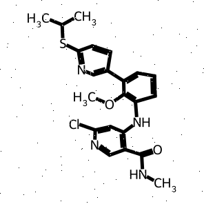 CNC(=O)c1cnc(Cl)cc1Nc1cccc(-c2ccc(SC(C)C)nc2)c1OC